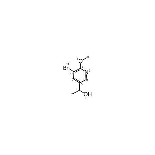 COc1ncc(C(C)O)cc1Br